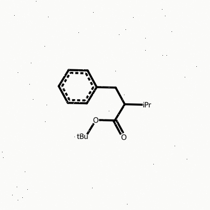 CC(C)C(Cc1ccccc1)C(=O)OC(C)(C)C